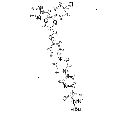 CCC(C)n1ncn(-c2ccc(N3CCN(c4ccc(OCC5COC(Cn6nccn6)(c6ccc(Cl)cc6)O5)cc4)CC3)cn2)c1=O